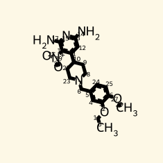 CCOc1cc(CN2CCC(c3cc(N)nc(N)c3[N+](=O)[O-])CC2)ccc1OC